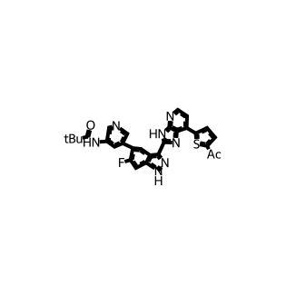 CC(=O)c1ccc(-c2ccnc3[nH]c(-c4n[nH]c5cc(F)c(-c6cncc(NC(=O)C(C)(C)C)c6)cc45)nc23)s1